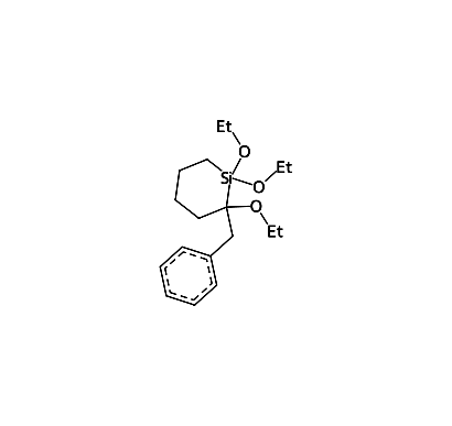 CCOC1(Cc2ccccc2)CCCC[Si]1(OCC)OCC